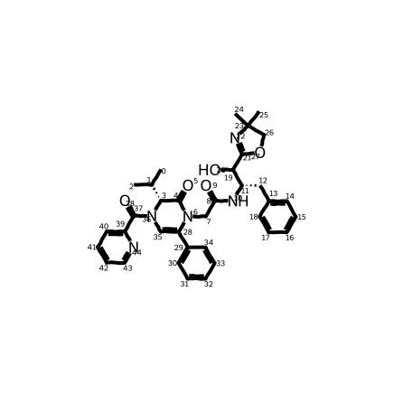 CC(C)[C@@H]1C(=O)N(CC(=O)N[C@@H](Cc2ccccc2)C(O)C2=NC(C)(C)CO2)C(c2ccccc2)=CN1C(=O)c1ccccn1